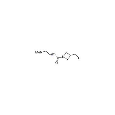 CNC/C=C/C(=O)N1CC(CF)C1